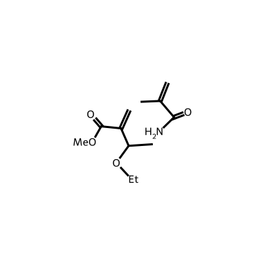 C=C(C(=O)OC)C(C)OCC.C=C(C)C(N)=O